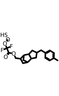 Cc1ccc(CC2CC3C4CC(COC(=O)C(F)(F)OOS)C(C4)C3C2)cc1